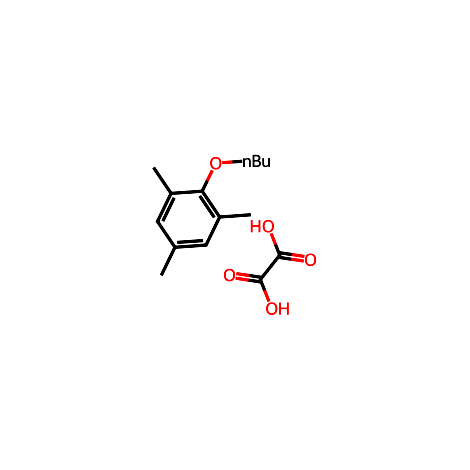 CCCCOc1c(C)cc(C)cc1C.O=C(O)C(=O)O